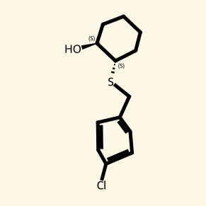 O[C@H]1CCCC[C@@H]1SCc1ccc(Cl)cc1